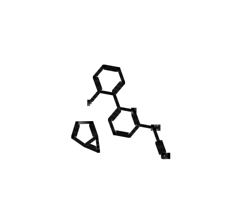 C#CNc1cccc(-c2ccccc2F)n1.c1cc2cc-2c1